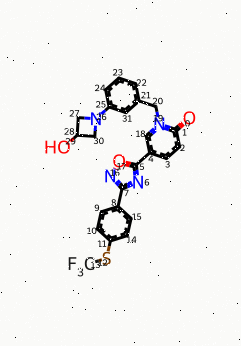 O=c1ccc(-c2nc(-c3ccc(SC(F)(F)F)cc3)no2)cn1Cc1cccc(N2CC(O)C2)c1